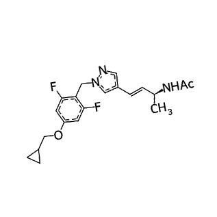 CC(=O)N[C@@H](C)/C=C/c1cnn(Cc2c(F)cc(OCC3CC3)cc2F)c1